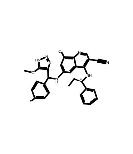 CC[C@@H](Nc1c(C#N)cnc2c(Cl)cc(NC(c3ccc(F)cc3)c3nn[nH]c3OC)cc12)c1ccccc1